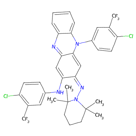 CC1(C)CCCC(C)(C)N1N=c1cc2n(-c3ccc(Cl)c(C(F)(F)F)c3)c3ccccc3nc-2cc1Nc1ccc(Cl)c(C(F)(F)F)c1